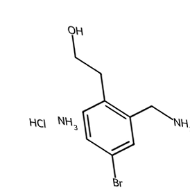 Cl.N.NCc1cc(Br)ccc1CCO